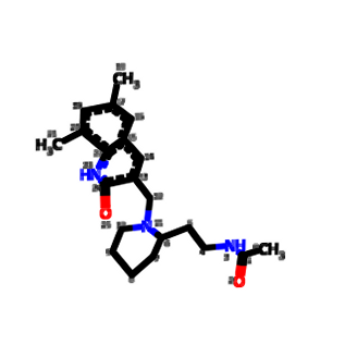 CC(=O)NCCC1CCCCN1Cc1cc2cc(C)cc(C)c2[nH]c1=O